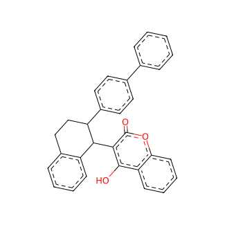 O=c1oc2ccccc2c(O)c1C1c2ccccc2CCC1c1ccc(-c2ccccc2)cc1